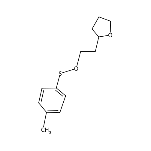 Cc1ccc(SOCCC2CCCO2)cc1